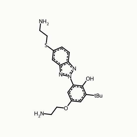 CC(C)(C)c1cc(OCCN)cc(-n2nc3ccc(SCCN)cc3n2)c1O